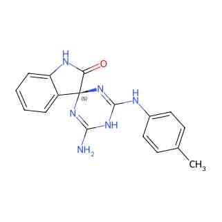 Cc1ccc(NC2=N[C@]3(N=C(N)N2)C(=O)Nc2ccccc23)cc1